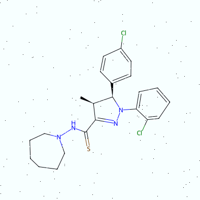 C[C@@H]1C(C(=S)NN2CCCCCC2)=NN(c2ccccc2Cl)[C@@H]1c1ccc(Cl)cc1